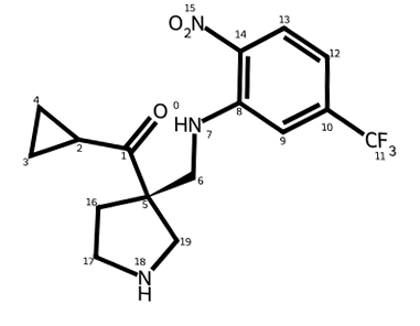 O=C(C1CC1)[C@@]1(CNc2cc(C(F)(F)F)ccc2[N+](=O)[O-])CCNC1